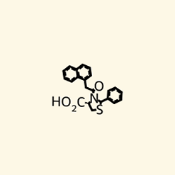 O=C(O)[C@@H]1CSC(c2ccccc2)N1C(=O)Cc1cccc2ccccc12